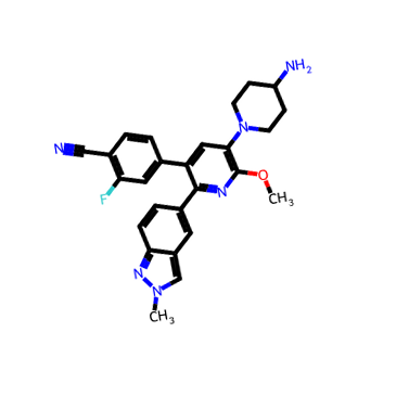 COc1nc(-c2ccc3nn(C)cc3c2)c(-c2ccc(C#N)c(F)c2)cc1N1CCC(N)CC1